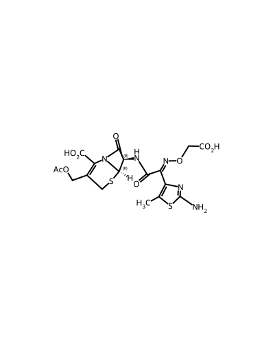 CC(=O)OCC1=C(C(=O)O)N2C(=O)[C@@H](NC(=O)C(=NOCC(=O)O)c3nc(N)sc3C)[C@H]2SC1